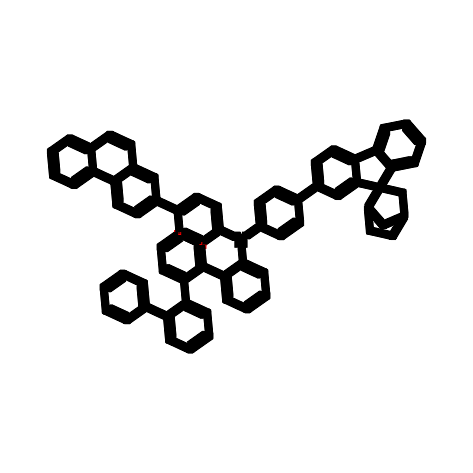 c1ccc(-c2ccccc2-c2ccccc2-c2ccccc2N(c2ccc(-c3ccc4c(c3)C3(CC5CCC3C5)c3ccccc3-4)cc2)c2ccc(-c3ccc4c(ccc5ccccc54)c3)cc2)cc1